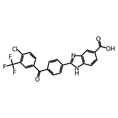 O=C(O)c1ccc2[nH]c(-c3ccc(C(=O)c4ccc(Cl)c(C(F)(F)F)c4)cc3)nc2c1